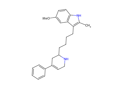 COc1ccc2[nH]c(C)c(CCCCC3CC(c4ccccc4)=CCN3)c2c1